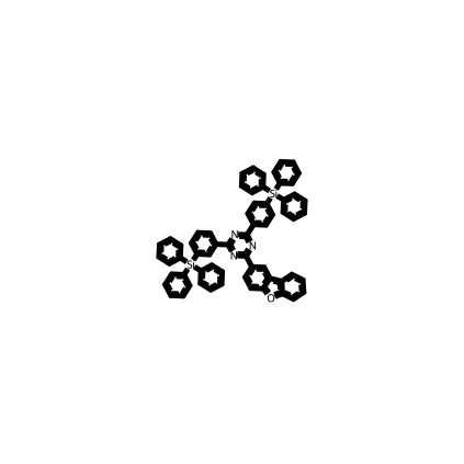 c1ccc([Si](c2ccccc2)(c2ccccc2)c2ccc(-c3nc(-c4cccc([Si](c5ccccc5)(c5ccccc5)c5ccccc5)c4)nc(-c4ccc5oc6ccccc6c5c4)n3)cc2)cc1